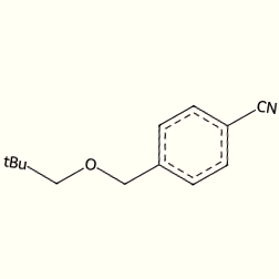 CC(C)(C)COCc1ccc(C#N)cc1